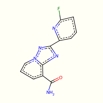 NC(=O)c1[c]ccn2nc(-c3cccc(F)n3)nc12